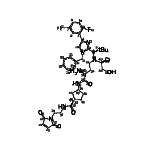 CC(C)(C)[C@H](c1nc(-c2cc(F)ccc2F)cn1Cc1ccccc1)N(CC[C@H](N)C(=O)N[C@H]1CC[C@@H](C(=O)NCCN2C(=O)C=CC2=O)C1)C(=O)CO